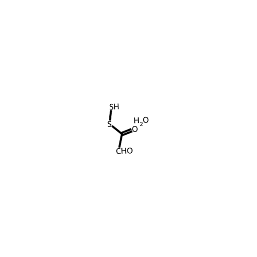 O.O=CC(=O)SS